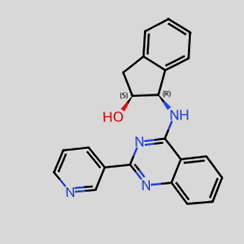 O[C@H]1Cc2ccccc2[C@H]1Nc1nc(-c2cccnc2)nc2ccccc12